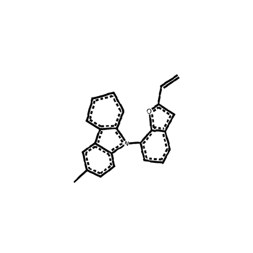 C=Cc1cc2cccc(-n3c4ccccc4c4cc(C)ccc43)c2o1